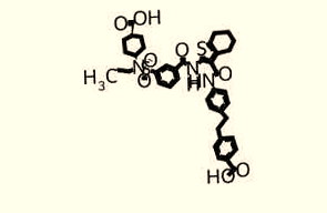 CCCN([C@H]1CC[C@H](C(=O)O)CC1)S(=O)(=O)c1cccc(C(=O)Nc2sc3c(c2C(=O)Nc2ccc(CCc4ccc(C(=O)O)cc4)cc2)CCCC3)c1